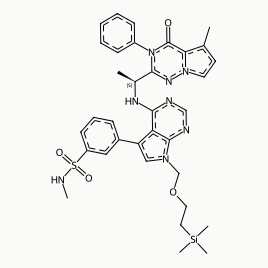 CNS(=O)(=O)c1cccc(-c2cn(COCC[Si](C)(C)C)c3ncnc(N[C@@H](C)c4nn5ccc(C)c5c(=O)n4-c4ccccc4)c23)c1